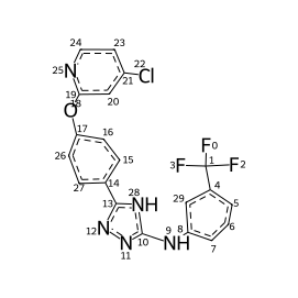 FC(F)(F)c1cccc(Nc2nnc(-c3ccc(Oc4cc(Cl)ccn4)cc3)[nH]2)c1